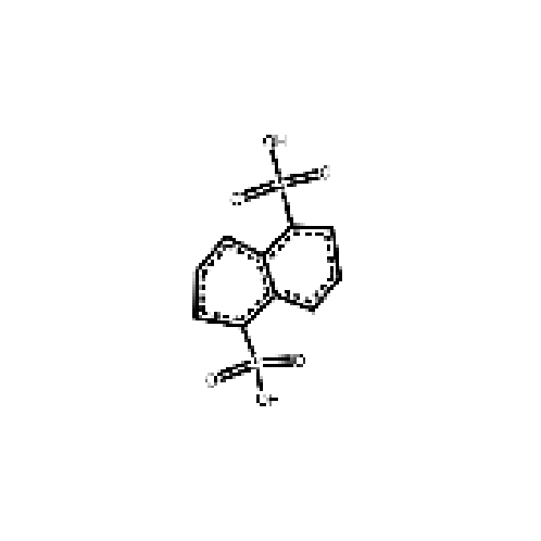 O=S(=O)(O)c1cccc2c(S(=O)(=O)O)c[c][c]c12